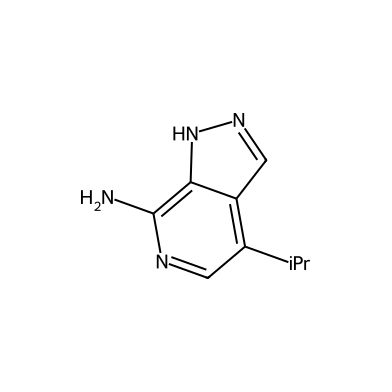 CC(C)c1cnc(N)c2[nH]ncc12